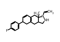 C=CN1NCC2CC3=C(C=CC(c4ccc(F)cc4)C3)CC21C